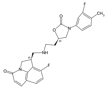 Cc1ccc(N2C[C@@H](CCNC[C@@H]3Cn4c(=O)ccc5ccc(F)c3c54)OC2=O)cc1F